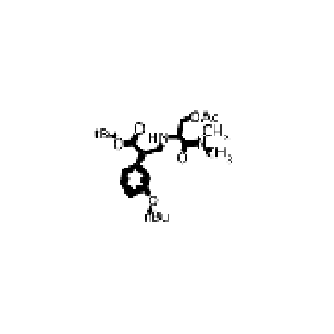 CCCCOc1cccc(C(CNC(COC(C)=O)C(=O)N(C)C)C(=O)OC(C)(C)C)c1